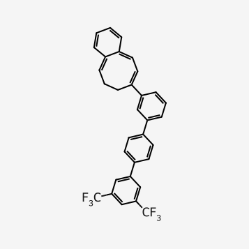 FC(F)(F)c1cc(-c2ccc(-c3cccc(/C4=C/C=c5/cccc/c5=C/CC4)c3)cc2)cc(C(F)(F)F)c1